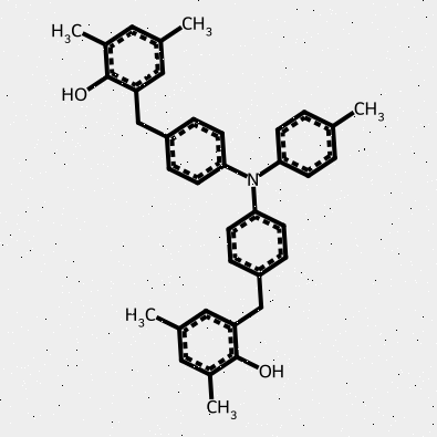 Cc1ccc(N(c2ccc(Cc3cc(C)cc(C)c3O)cc2)c2ccc(Cc3cc(C)cc(C)c3O)cc2)cc1